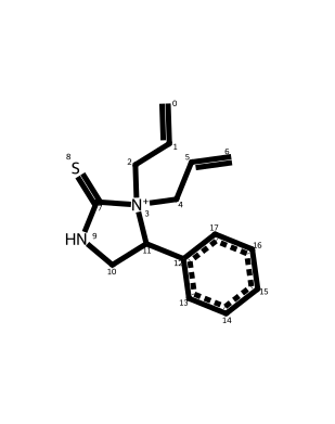 C=CC[N+]1(CC=C)C(=S)NCC1c1ccccc1